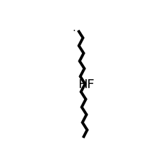 F.[CH2]CCCCCCCCCCCCCC